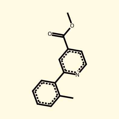 COC(=O)c1ccnc(-c2ccccc2C)c1